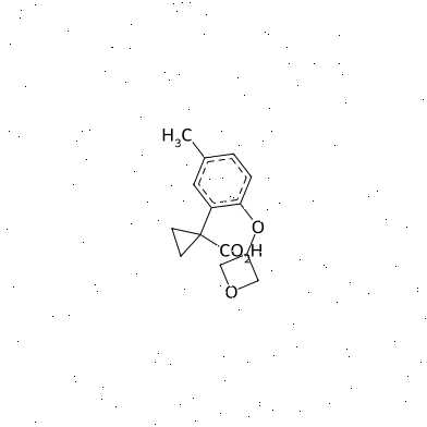 Cc1ccc(OC2COC2)c(C2(C(=O)O)CC2)c1